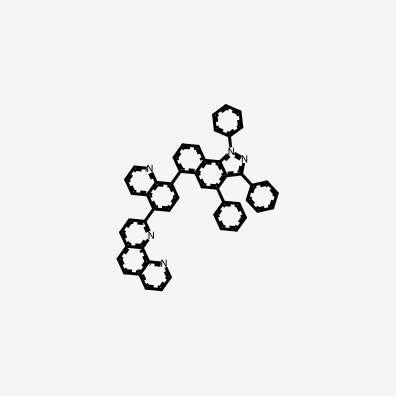 c1ccc(-c2cc3c(-c4ccc(-c5ccc6ccc7cccnc7c6n5)c5cccnc45)cccc3c3c2c(-c2ccccc2)nn3-c2ccccc2)cc1